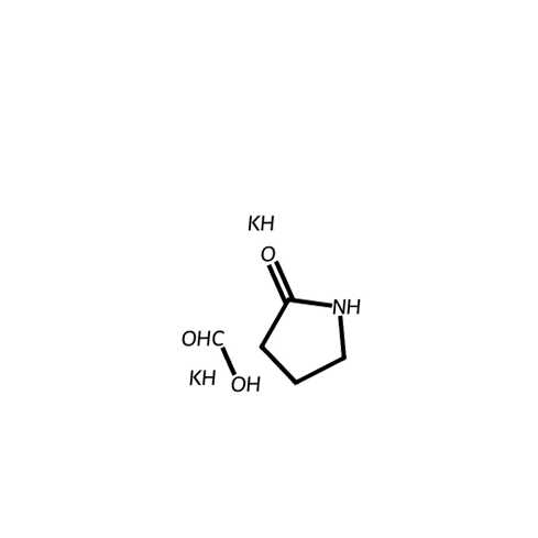 O=C1CCCN1.O=CO.[KH].[KH]